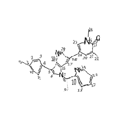 Cc1ccc(-c2cn([C@@H](C)c3ccccn3)c3cc(-c4cc(C)c(=O)n(C)c4)cnc23)cc1